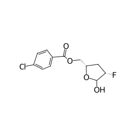 O=C(OC[C@@H]1C[C@H](F)C(O)O1)c1ccc(Cl)cc1